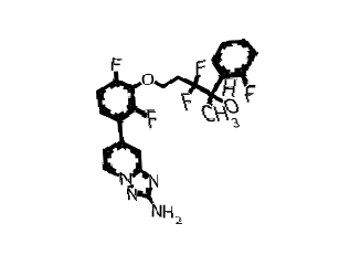 CC(O)(c1ccccc1F)C(F)(F)CCOc1c(F)ccc(-c2ccn3nc(N)nc3c2)c1F